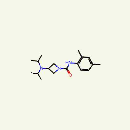 Cc1ccc(NC(=O)N2CC(N(C(C)C)C(C)C)C2)c(C)c1